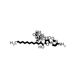 CCCCCCCCCCCC(OP(=O)(O)OP(=O)(O)O)C(O)[C@H]1O[C@@H](n2ccc(N)nc2=O)[C@H](O)[C@@H]1O